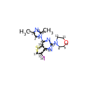 Cc1cn(-c2nc(N3CCOCC3)nc3c(I)csc23)c(C)n1